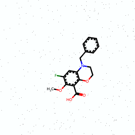 COc1c(F)cc2c(c1C(=O)O)OCCN2Cc1ccccc1